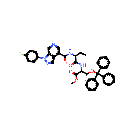 CCC(NC(=O)c1cncc2c1cnn2-c1ccc(F)cc1)C(=O)NC(C(=O)OC)[C@@H](C)OC(c1ccccc1)(c1ccccc1)c1ccccc1